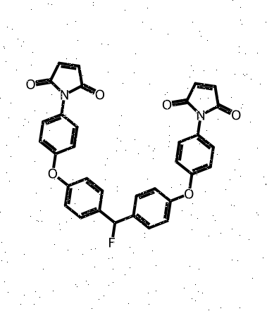 O=C1C=CC(=O)N1c1ccc(Oc2ccc(C(F)c3ccc(Oc4ccc(N5C(=O)C=CC5=O)cc4)cc3)cc2)cc1